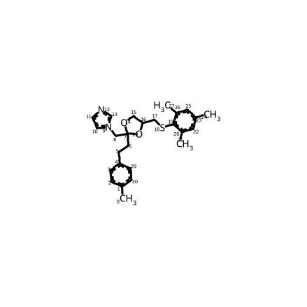 Cc1ccc(CCC2(Cn3ccnc3)OCC(CSc3c(C)cc(C)cc3C)O2)cc1